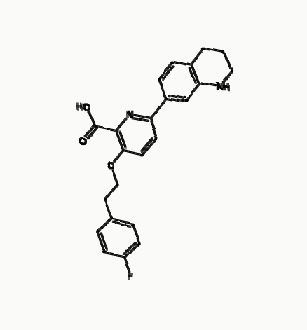 O=C(O)c1nc(-c2ccc3c(c2)NCCC3)ccc1OCCc1ccc(F)cc1